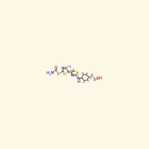 Cc1nc(CC(N)=O)sc1-c1csc(Nc2ccc(CCO)cc2)n1